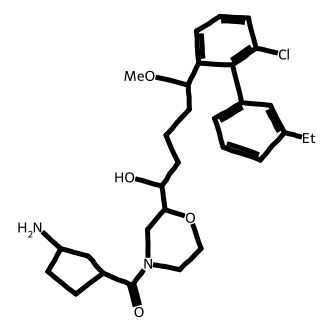 CCc1cccc(-c2c(Cl)cccc2C(CCCC(O)C2CN(C(=O)C3CCC(N)C3)CCO2)OC)c1